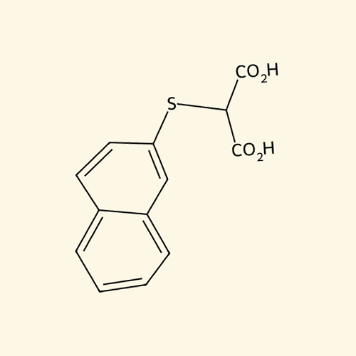 O=C(O)C(Sc1ccc2ccccc2c1)C(=O)O